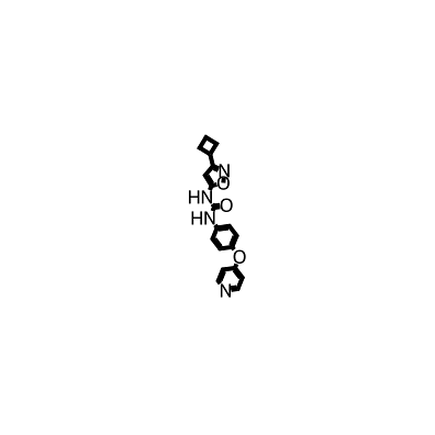 O=C(Nc1ccc(Oc2ccncc2)cc1)Nc1cc(C2CCC2)no1